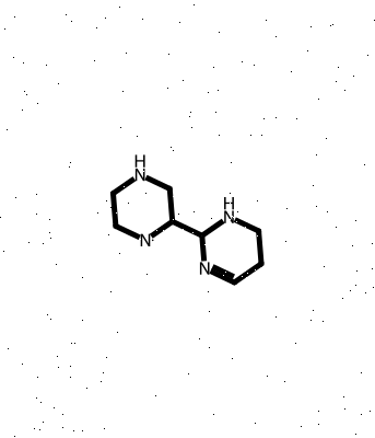 C1=NC(C2CNCC[N]2)NCC1